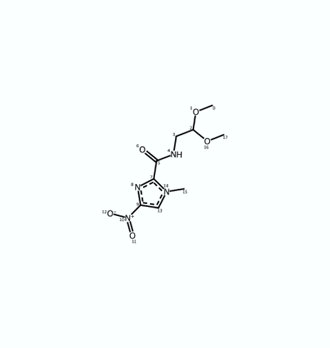 COC(CNC(=O)c1nc([N+](=O)[O-])cn1C)OC